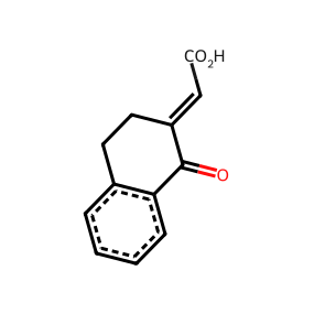 O=C(O)/C=C1\CCc2ccccc2C1=O